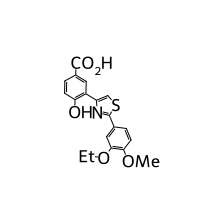 CCOc1cc(-c2nc(-c3cc(C(=O)O)ccc3O)cs2)ccc1OC